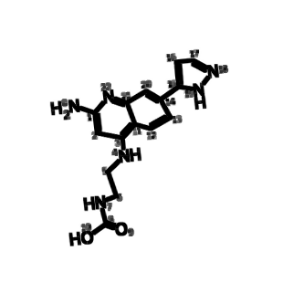 Nc1cc(NCCNC(=O)O)c2ccc(-c3ccn[nH]3)cc2n1